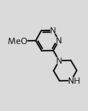 COc1cnnc(N2CCNCC2)c1